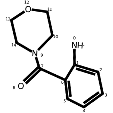 [NH]c1ccccc1C(=O)N1CCOCC1